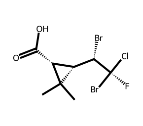 CC1(C)[C@@H]([C@H](Br)[C@@](F)(Cl)Br)[C@H]1C(=O)O